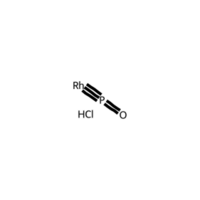 Cl.O=[P]#[Rh]